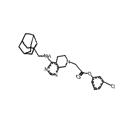 O=C(CN1CCc2c(ncnc2NCC23CC4CC(CC(C4)C2)C3)C1)Oc1cccc(Cl)c1